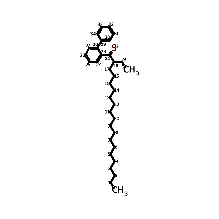 CCCCCCCCCCCCCCCCCCC(CC)C(=S)c1ccccc1-c1ccccc1